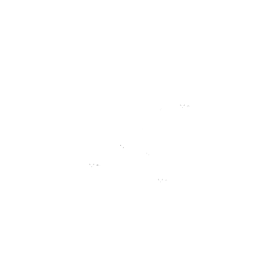 COC(=O)C(Sc1nc(OC)cc(OC)n1)C1SCCS1